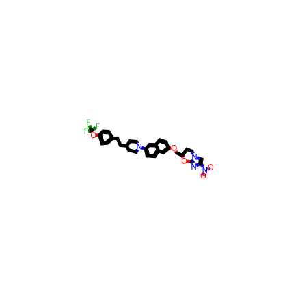 O=[N+]([O-])c1cn2c(n1)OC(COc1ccc3cc(N4CCC(CCc5ccc(OC(F)(F)F)cc5)CC4)ccc3c1)CC2